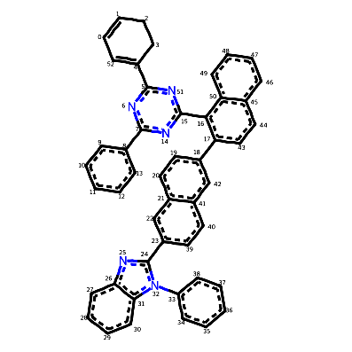 C1=CCCC(c2nc(-c3ccccc3)nc(-c3c(-c4ccc5cc(-c6nc7ccccc7n6-c6ccccc6)ccc5c4)ccc4ccccc34)n2)=C1